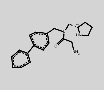 NCC(=O)N(Cc1ccc(-c2ccccc2)cc1)C[C@@H]1CCCN1